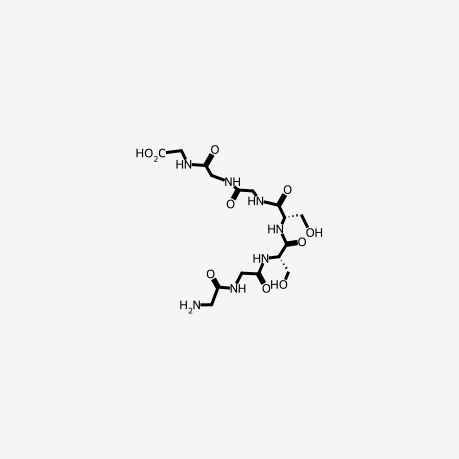 NCC(=O)NCC(=O)N[C@@H](CO)C(=O)N[C@@H](CO)C(=O)NCC(=O)NCC(=O)NCC(=O)O